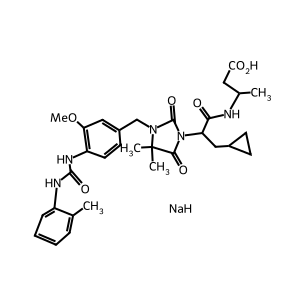 COc1cc(CN2C(=O)N(C(CC3CC3)C(=O)NC(C)CC(=O)O)C(=O)C2(C)C)ccc1NC(=O)Nc1ccccc1C.[NaH]